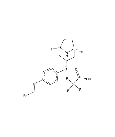 CC(C)/C=C/c1ccc(O[C@@H]2C[C@H]3CC[C@@H](C2)N3)cc1.O=C(O)C(F)(F)F